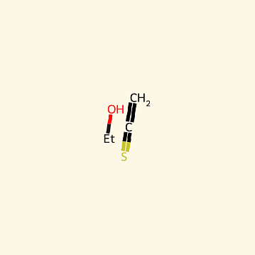 C=C=S.CCO